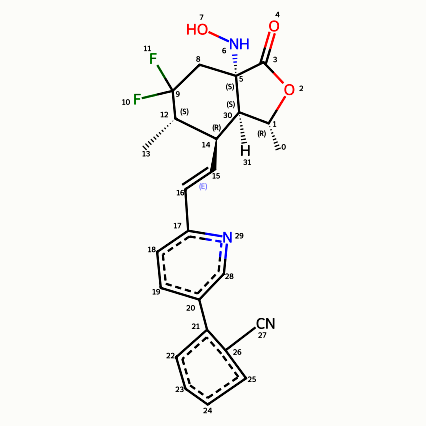 C[C@H]1OC(=O)[C@]2(NO)CC(F)(F)[C@@H](C)[C@H](/C=C/c3ccc(-c4ccccc4C#N)cn3)[C@H]12